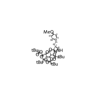 COc1ccc(CCc2c[nH]nc2O[C@@H]2O[C@H](COC(=O)C(C)(C)C)[C@@H](OC(=O)C(C)(C)C)[C@H](OC(=O)C(C)(C)C)[C@H]2OC(=O)C(C)(C)C)cc1